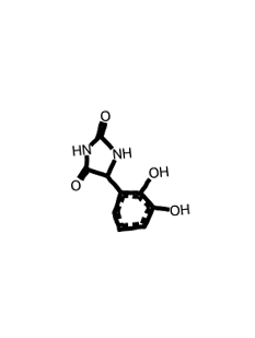 O=C1NC(=O)C(c2cccc(O)c2O)N1